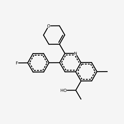 Cc1cc(C(C)O)c2cc(-c3ccc(F)cc3)c(C3=CCOCC3)nc2c1